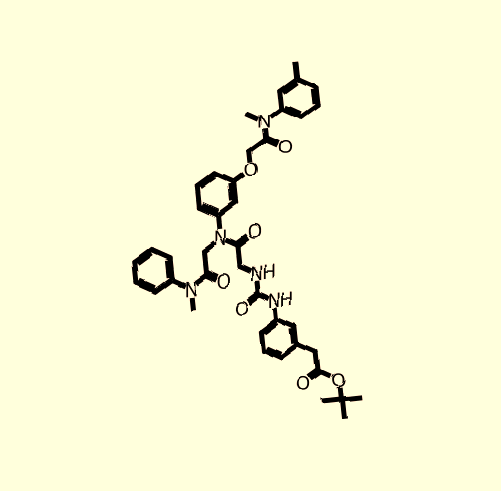 Cc1cccc(N(C)C(=O)COc2cccc(N(CC(=O)N(C)c3ccccc3)C(=O)CNC(=O)Nc3cccc(CC(=O)OC(C)(C)C)c3)c2)c1